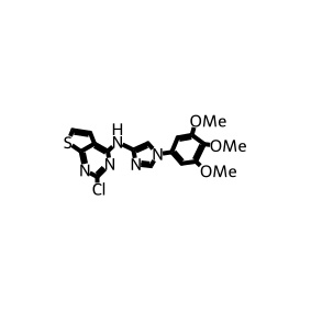 COc1cc(-n2cnc(Nc3nc(Cl)nc4sccc34)c2)cc(OC)c1OC